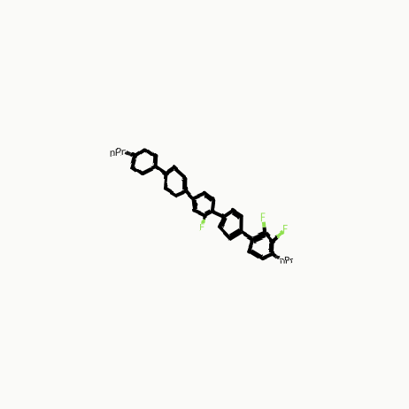 CCCc1ccc(-c2ccc(-c3ccc(C4=CCC(C5CCC(CCC)CC5)CC4)cc3F)cc2)c(F)c1F